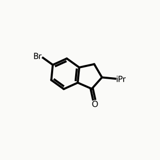 CC(C)C1Cc2cc(Br)ccc2C1=O